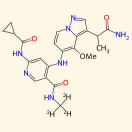 [2H]C([2H])([2H])NC(=O)c1cnc(NC(=O)C2CC2)cc1Nc1ccn2ncc(C(C)C(N)=O)c2c1OC